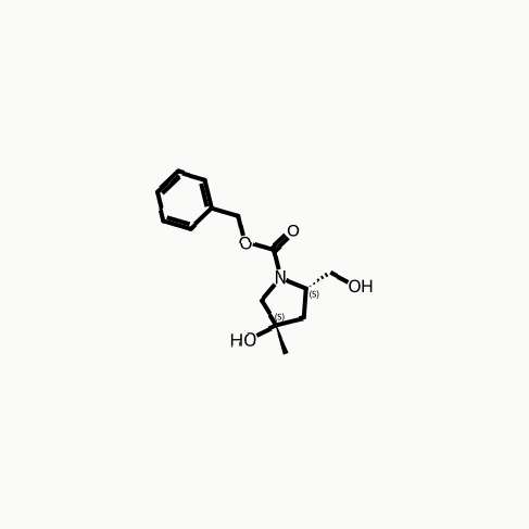 C[C@]1(O)C[C@@H](CO)N(C(=O)OCc2ccccc2)C1